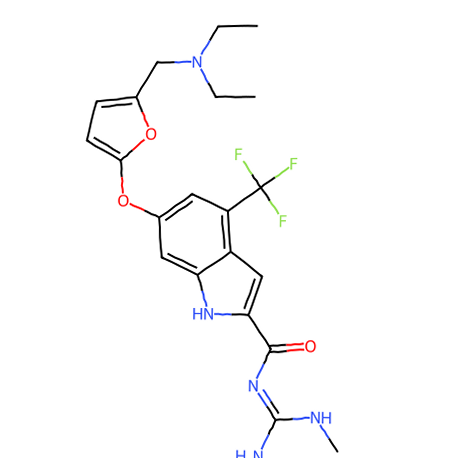 CCN(CC)Cc1ccc(Oc2cc(C(F)(F)F)c3cc(C(=O)N=C(N)NC)[nH]c3c2)o1